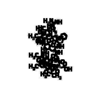 CC(C)C[C@H](NC(=O)[C@H](C)NC(=O)[C@@H](N)C(C)C)C(=O)N[C@H](C(=O)N[C@@H](CC(=O)O)C(=O)NCC(=O)N[C@@H](Cc1ccc(O)cc1)C(=O)N[C@@H](Cc1ccccc1)C(=O)N[C@@H](CCCNC(=N)N)C(=O)N[C@@H](CC(C)C)C(=O)N[C@H](C(=O)O)[C@@H](C)O)C(C)C